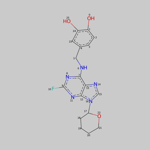 Oc1ccc(CNc2nc(F)nc3c2ncn3C2CCCCO2)cc1O